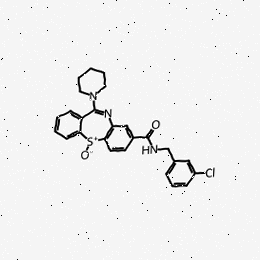 O=C(NCc1cccc(Cl)c1)c1ccc2c(c1)N=C(N1CCCCC1)c1ccccc1[S+]2[O-]